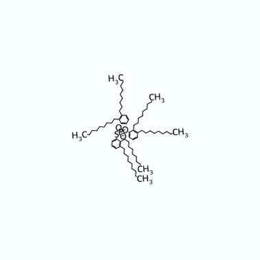 CCCCCCCCCc1cccc(OP(=O)(Oc2cccc(CCCCCCCCC)c2CCCCCCCCC)Sc2cccc(CCCCCCCCC)c2CCCCCCCCC)c1CCCCCCCCC